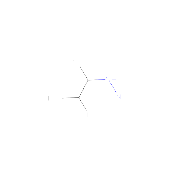 CCCC(NN)C(C)CC